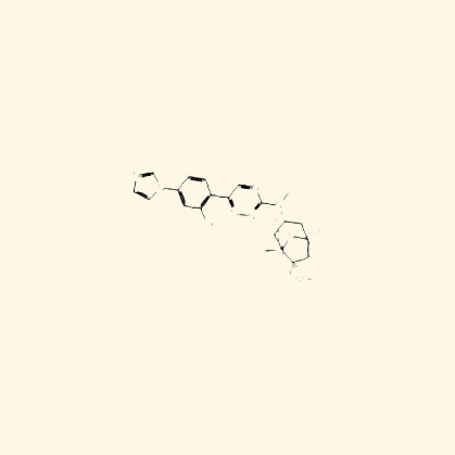 CO[C@@H]1C[C@]2(C)N[C@@]1(C)C[C@@H](N(C)c1ncc(-c3ccc(-n4ccnc4)cc3O)nn1)[C@@H]2F